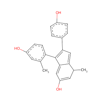 Cc1cc(O)ccc1C1=C(c2ccc(O)cc2)C=C2C1=CC(O)=CC2C